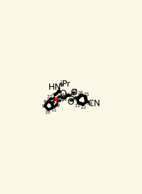 CC(C)NC(=O)CN(C)C1C2CCC1CN(CCCS(=O)(=O)c1ccc(C#N)cc1)C2